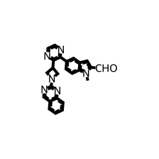 Cn1c(C=O)cc2cc(-c3nccnc3C3CN(c4ncc5ccccc5n4)C3)ccc21